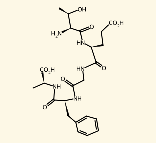 C[C@H](NC(=O)[C@H](Cc1ccccc1)NC(=O)CNC(=O)[C@H](CCC(=O)O)NC(=O)[C@@H](N)[C@@H](C)O)C(=O)O